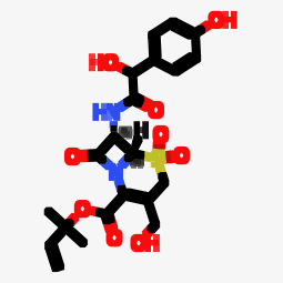 C=CC(C)(C)OC(=O)C1=C(CO)CS(=O)(=O)[C@H]2[C@@H](NC(=O)C(O)c3ccc(O)cc3)C(=O)N12